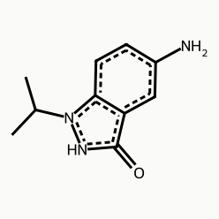 CC(C)n1[nH]c(=O)c2cc(N)ccc21